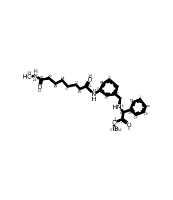 CC(C)(C)OC(=O)C(NCc1cccc(NC(=O)CCCCCCC(=O)NO)c1)c1ccccc1